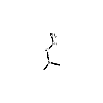 BNBN(C)C